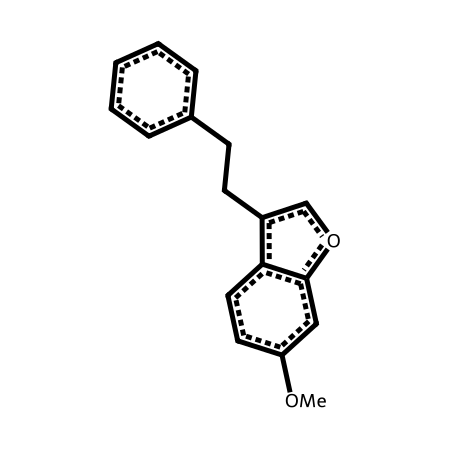 COc1ccc2c(CCc3ccccc3)coc2c1